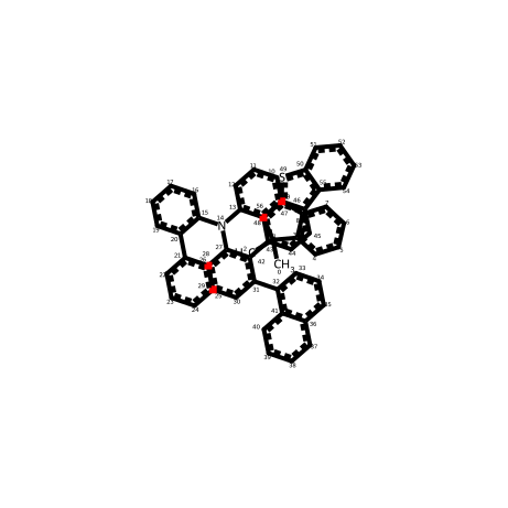 CC1(C)c2ccccc2-c2cccc(N(c3ccccc3-c3ccccc3)c3cccc(-c4cccc5ccccc45)c3-c3ccc4c(c3)sc3ccccc34)c21